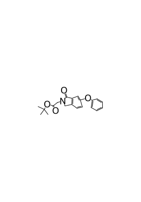 CC(C)(C)OC(=O)CN1Cc2ccc(Oc3ccccc3)cc2C1=O